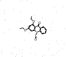 CCOc1cc(OCC)c2c(c1)S(=C=O)c1ccccc1C2=O